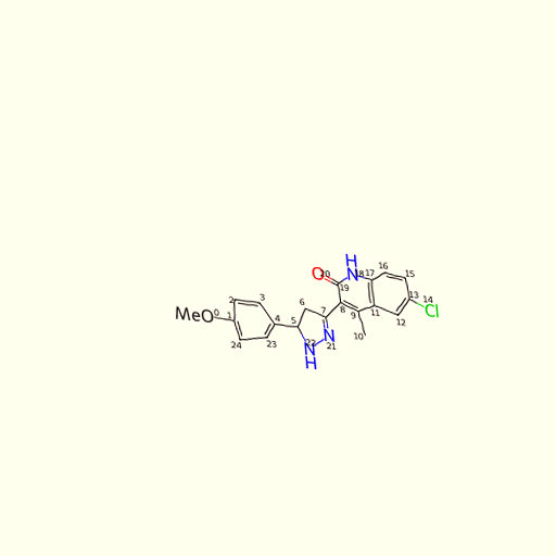 COc1ccc(C2CC(c3c(C)c4cc(Cl)ccc4[nH]c3=O)=NN2)cc1